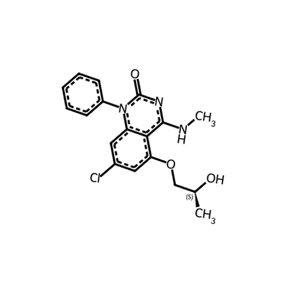 CNc1nc(=O)n(-c2ccccc2)c2cc(Cl)cc(OC[C@H](C)O)c12